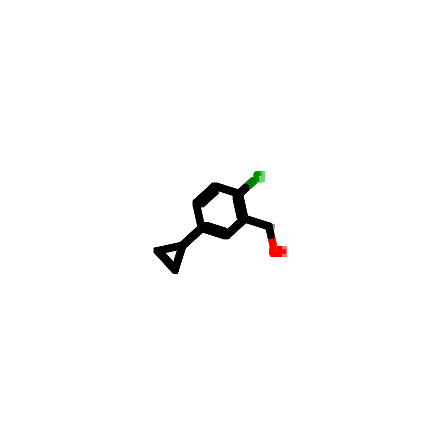 O[CH]c1cc(C2CC2)ccc1Cl